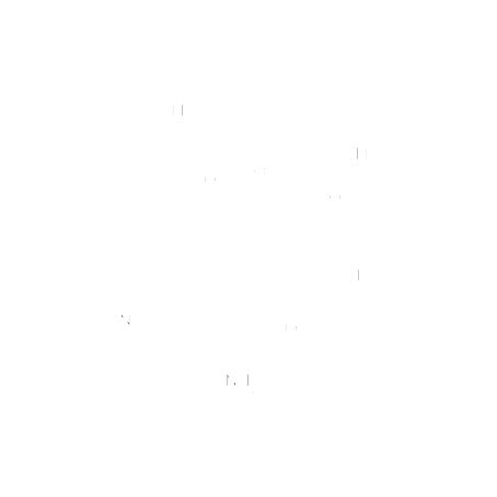 COC(=O)C1=C(C)OC(N)=C(C#N)C1c1ccc(C)o1